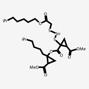 COC(=O)C1CC1(CCCCC(C)C)OC(=O)C1([S][Sn][S]CC(=O)OCCCCCC(C)C)CC1C(=O)OC